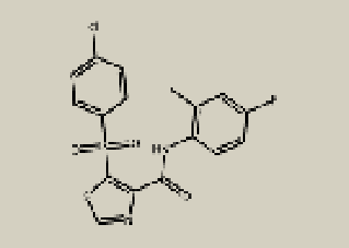 Cc1cc(F)ccc1NC(=O)c1ncsc1S(=O)(=O)c1ccc(Cl)cc1